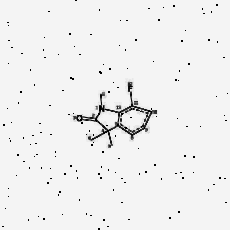 CN1C(=O)C(C)(C)c2cccc(F)c21